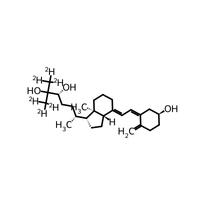 [2H]C([2H])([2H])C(O)([C@H](O)CC[C@@H](C)[C@H]1CC[C@H]2/C(=C/C=C3/C[C@@H](O)CCC3=C)CCC[C@]12C)C([2H])([2H])[2H]